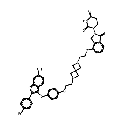 O=C1CCC(N2Cc3c(OCCN4CC5(CN(CCOc6ccc(Oc7c(-c8ccc(Br)cc8)sc8cc(O)ccc78)cc6)C5)C4)cccc3C2=O)C(=O)N1